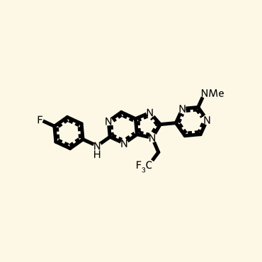 CNc1nccc(-c2nc3cnc(Nc4ccc(F)cc4)nc3n2CC(F)(F)F)n1